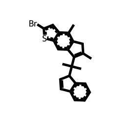 CC1=C(C(C)(C)C2C=Cc3ccccc32)c2cc3sc(Br)cc3c(C)c2C1